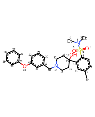 CCN(CC)S(=O)(=O)c1ccc(C)cc1C1(O)CCN(Cc2cccc(Oc3ccccc3)c2)CC1